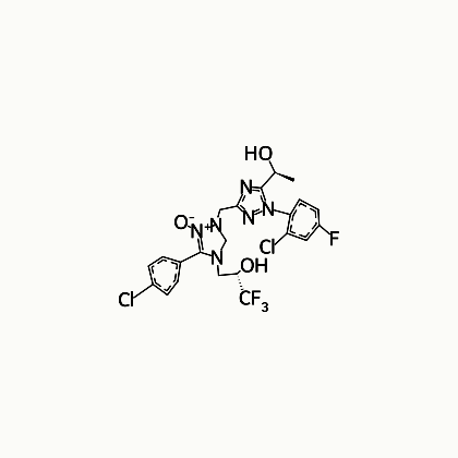 C[C@H](O)c1nc(CN2CN(C[C@H](O)C(F)(F)F)C(c3ccc(Cl)cc3)=[N+]2[O-])nn1-c1ccc(F)cc1Cl